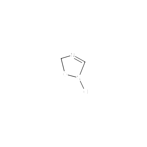 ClN1C=N[CH]O1